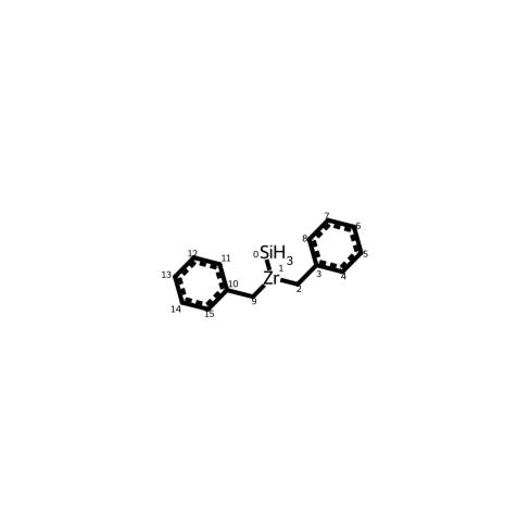 [SiH3][Zr]([CH2]c1ccccc1)[CH2]c1ccccc1